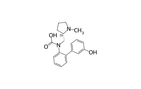 CN1CCC[C@H]1CN(C(=O)O)c1ccccc1-c1cccc(O)c1